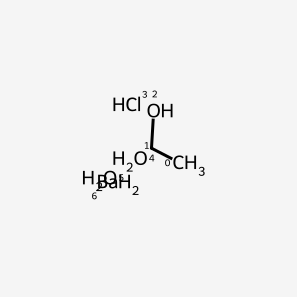 CCO.Cl.O.O.[BaH2]